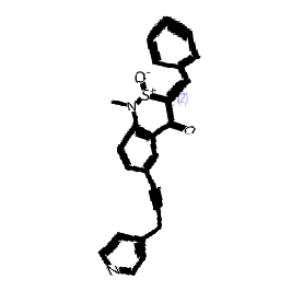 CN1c2ccc(C#CCc3ccncc3)cc2C(=O)/C(=C/c2ccccc2)[S+]1[O-]